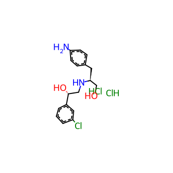 Cl.Cl.Nc1ccc(C[C@@H](CO)NC[C@@H](O)c2cccc(Cl)c2)cc1